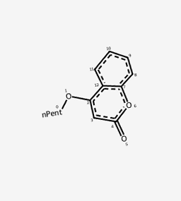 CCCCCOc1cc(=O)oc2ccccc12